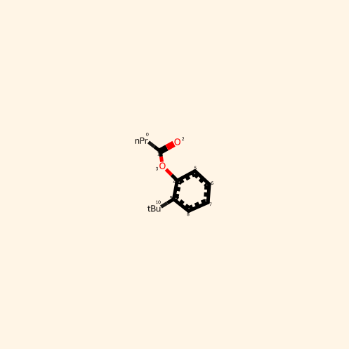 CCCC(=O)Oc1ccccc1C(C)(C)C